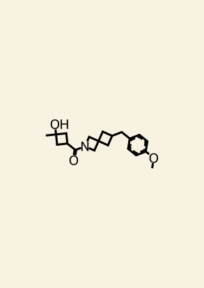 COc1ccc(CC2CC3(C2)CN(C(=O)C2CC(C)(O)C2)C3)cc1